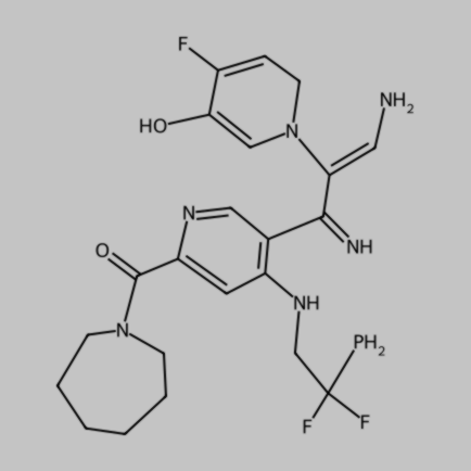 N=C(/C(=C/N)N1C=C(O)C(F)=CC1)c1cnc(C(=O)N2CCCCCC2)cc1NCC(F)(F)P